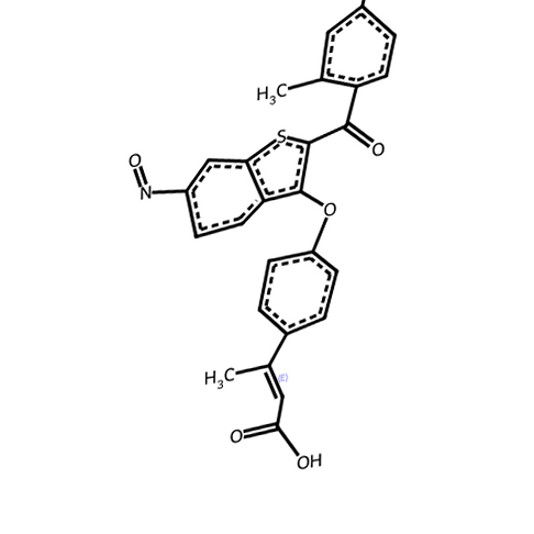 C/C(=C\C(=O)O)c1ccc(Oc2c(C(=O)c3ccc(C)cc3C)sc3cc(N=O)ccc23)cc1